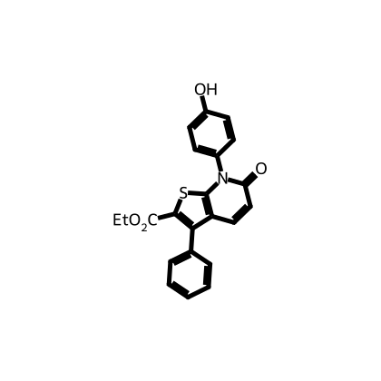 CCOC(=O)c1sc2c(ccc(=O)n2-c2ccc(O)cc2)c1-c1ccccc1